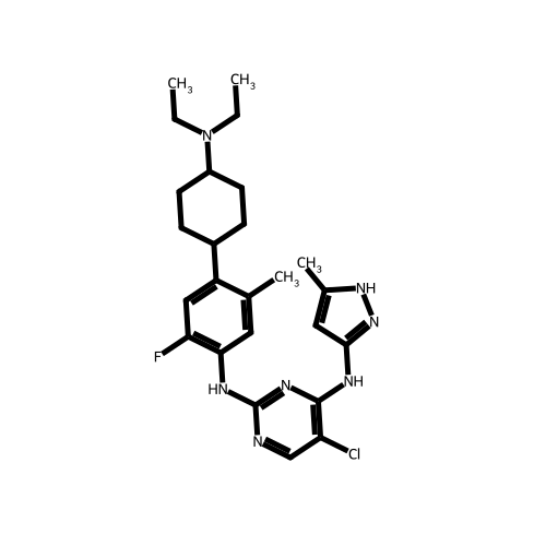 CCN(CC)C1CCC(c2cc(F)c(Nc3ncc(Cl)c(Nc4cc(C)[nH]n4)n3)cc2C)CC1